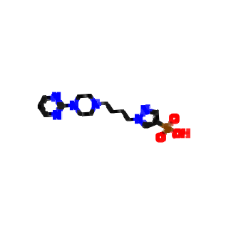 O=S(=O)(O)c1cnn(CCCCN2CCN(c3ncccn3)CC2)c1